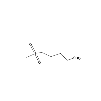 CS(=O)(=O)CCCCC=O